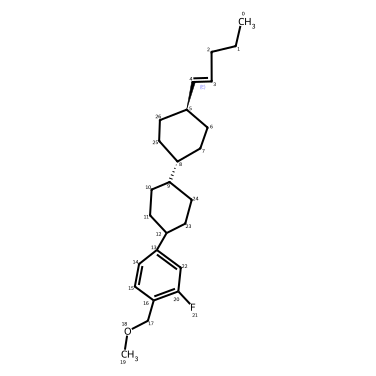 CCC/C=C/[C@H]1CC[C@H](C2CCC(c3ccc(COC)c(F)c3)CC2)CC1